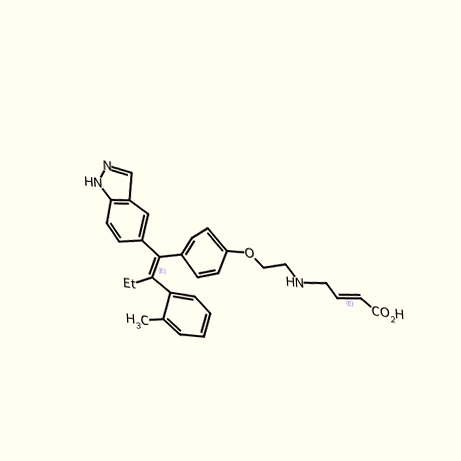 CC/C(=C(/c1ccc(OCCNC/C=C/C(=O)O)cc1)c1ccc2[nH]ncc2c1)c1ccccc1C